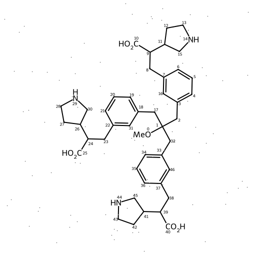 COC(Cc1cccc(CC(C(=O)O)C2CCNC2)c1)(Cc1cccc(CC(C(=O)O)C2CCNC2)c1)Cc1cccc(CC(C(=O)O)C2CCNC2)c1